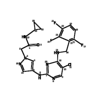 O=C(Cn1cc(Nc2ncc(Cl)c(NCc3c(F)ccc(F)c3F)n2)cn1)NC1CC1